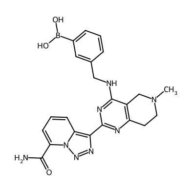 CN1CCc2nc(-c3nnn4c(C(N)=O)cccc34)nc(NCc3cccc(B(O)O)c3)c2C1